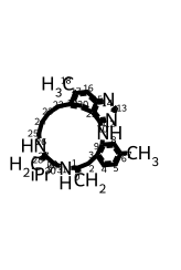 C=C1Cc2ccc(C)cc2Nc2ncnc3cc(C)c(cc23)CCCCNC(=C)[C@@H](C(C)C)N1